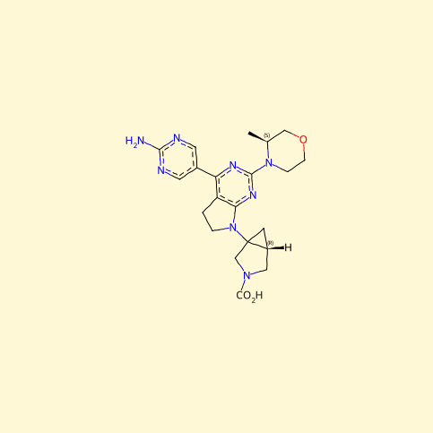 C[C@H]1COCCN1c1nc(-c2cnc(N)nc2)c2c(n1)N(C13C[C@@H]1CN(C(=O)O)C3)CC2